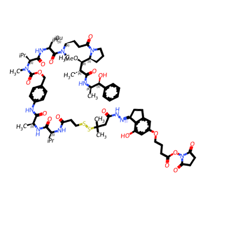 CC[C@H](C)[C@@H](CCC(=O)N1CCC[C@H]1[C@H](OC)[C@@H](C)C(=O)N[C@H](C)[C@@H](O)c1ccccc1)N(C)C(=O)C(NC(=O)[C@H](C(C)C)N(C)C(=O)OCc1ccc(NC(=O)[C@H](C)NC(=O)[C@@H](NC(=O)CCSSC(C)(C)CC(=O)N/N=C2\CCc3cc(OCCCC(=O)ON4C(=O)CCC4=O)cc(O)c32)C(C)C)cc1)C(C)C